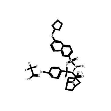 CN([C@@H](C(=O)N1C2CCC1CC(N)C2)C(F)(F)c1ccc(Br)cc1)S(=O)(=O)c1ccc2cc(OC3CCCC3)ccc2c1.O=C(O)C(F)(F)F